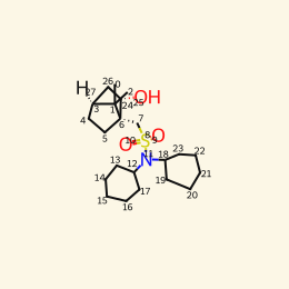 CC1(C)[C@H]2CC[C@]1(CS(=O)(=O)N(C1CCCCC1)C1CCCCC1)[C@@H](O)C2